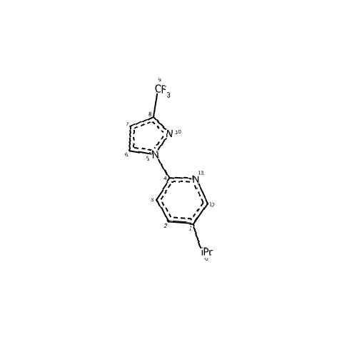 CC(C)c1ccc(-n2ccc(C(F)(F)F)n2)nc1